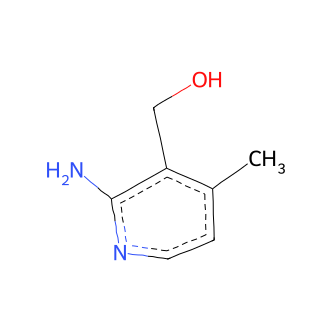 Cc1ccnc(N)c1CO